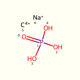 O=P(O)(O)O.[C+4].[Na+]